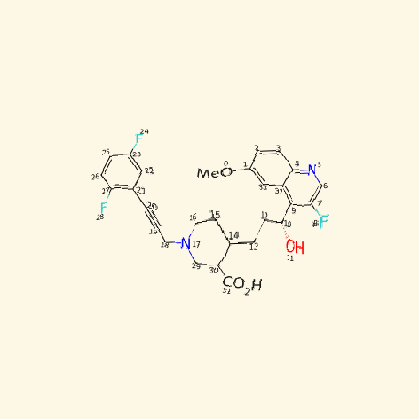 COc1ccc2ncc(F)c([C@H](O)CCC3CCN(CC#Cc4cc(F)ccc4F)CC3C(=O)O)c2c1